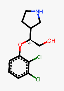 OC[C@@H](Oc1cccc(Cl)c1Cl)C1CCNC1